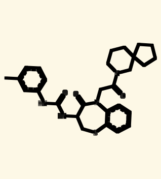 Cc1cccc(NC(=O)NC2CSc3ccccc3N(CC(=O)N3CCCC4(CCCC4)C3)C2=O)c1